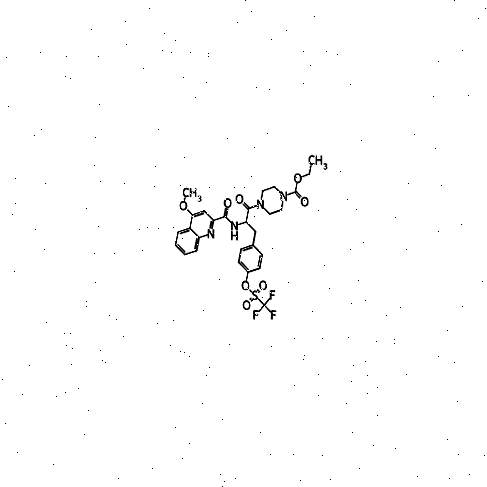 CCOC(=O)N1CCN(C(=O)C(Cc2ccc(OS(=O)(=O)C(F)(F)F)cc2)NC(=O)c2cc(OC)c3ccccc3n2)CC1